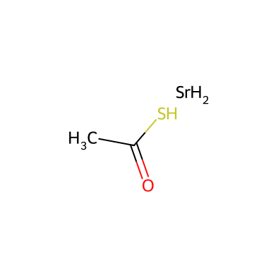 CC(=O)S.[SrH2]